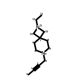 CC#CCN1CCC2(CC1)CN(CC)C2